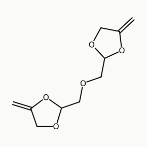 C=C1COC(COCC2OCC(=C)O2)O1